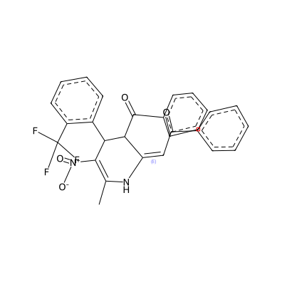 CC1=C([N+](=O)[O-])C(c2ccccc2C(F)(F)F)C(C(=O)c2ccccc2)/C(=C\C(=O)c2ccccc2)N1